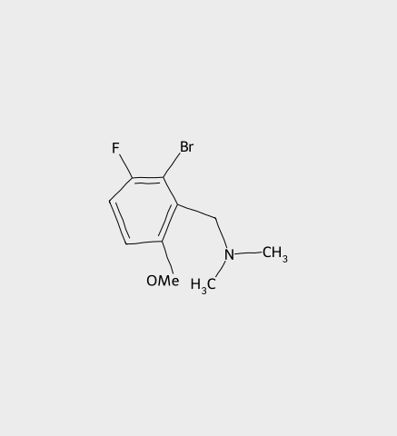 COc1ccc(F)c(Br)c1CN(C)C